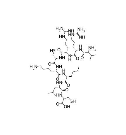 CCCC[C@H](NC(=O)[C@H](CCCCN)NC(=O)[C@H](CS)NC(=O)[C@H](CCCNC(=N)N)NC(=O)[C@H](CCCNC(=N)N)NC(=O)[C@@H](N)C(C)C)C(=O)N[C@@H](CC(C)C)C(=O)N[C@@H](CS)C(=O)O